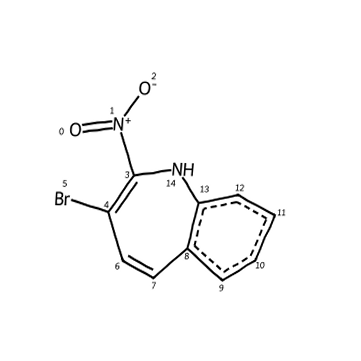 O=[N+]([O-])C1=C(Br)C=Cc2ccccc2N1